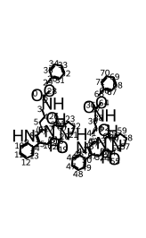 O=C(NCCC[C@@H]1c2[nH]c3ccccc3c2C[C@H]2C(=O)N3CCC[C@H]3C(=O)N12)OCc1ccccc1.O=C(NCCC[C@H]1c2[nH]c3ccccc3c2C[C@H]2C(=O)N3CCC[C@H]3C(=O)N21)OCc1ccccc1